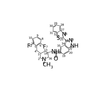 CN1CC(Cc2c(F)cccc2F)CC(NC(=O)c2ccc3[nH]nc(-c4nc5ccccc5s4)c3c2)C1